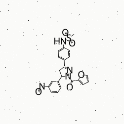 CS(=O)(=O)Nc1ccc(C2=NN(C(=O)c3ccco3)C(c3cccc(N=O)c3)C2)cc1